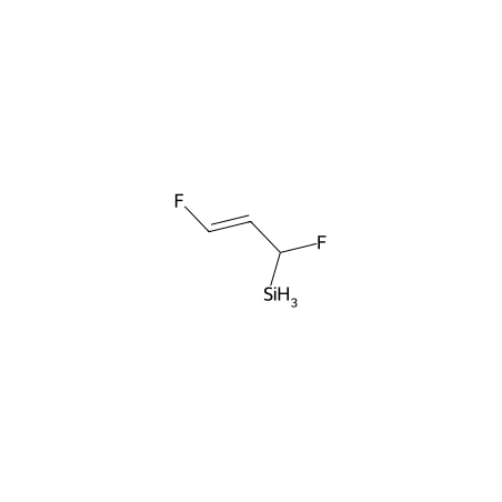 FC=CC(F)[SiH3]